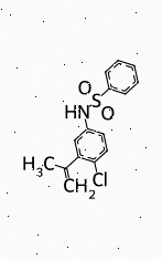 C=C(C)c1cc(NS(=O)(=O)c2ccccc2)ccc1Cl